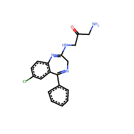 NCC(=O)CNC1=Nc2ccc(Cl)cc2C(c2ccccc2)=NC1